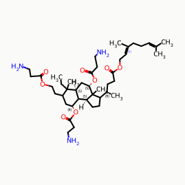 CCC1(C)C(CCOC(=O)CCN)C[C@@H](OC(=O)CCN)C2[C@@H]1C[C@H](OC(=O)CCN)C1(C)C([C@H](C)CCC(=O)OC/C=C(\C)CCC=C(C)C)CC[C@@H]21